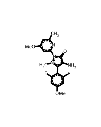 COc1cc(C)nc(-n2c(=O)c(N)c(-c3c(F)cc(OC)cc3F)n2C)c1